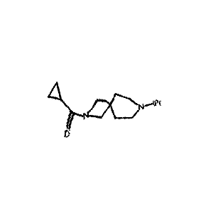 CC(C)N1CCC2(CC1)CN(C(=O)C1CC1)C2